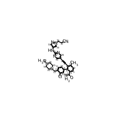 Cc1ccc(C(N)=O)c(-c2ccc(CN3CCN(C)CC3)c(Cl)c2)c1C#Cc1cnc(Nc2cnn(CCC#N)c2)nc1